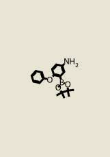 CC1(C)OB(c2cc(N)ccc2Oc2ccccc2)OC1(C)C